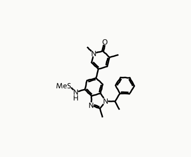 CSNc1cc(-c2cc(C)c(=O)n(C)c2)cc2c1nc(C)n2C(C)c1ccccc1